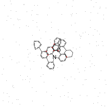 c1ccc(-c2ccc(-c3ccccc3N(c3ccccc3-c3cccc4cccc(C5CCCCC5)c34)c3cccc4c3oc3ccccc34)cc2)cc1